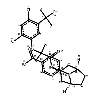 CC(C)(Oc1cc(C(C)(C)O)c(Cl)cc1Cl)C(=O)N[C@H]1C[C@H]2CC[C@@H](C1)N2c1ccc(C(=O)O)cn1